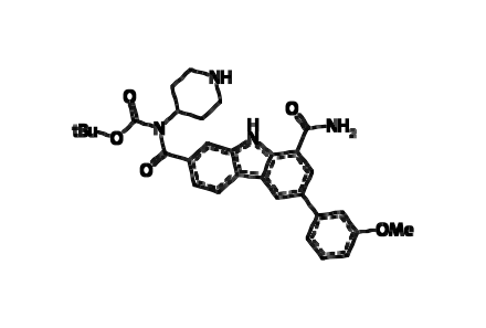 COc1cccc(-c2cc(C(N)=O)c3[nH]c4cc(C(=O)N(C(=O)OC(C)(C)C)C5CCNCC5)ccc4c3c2)c1